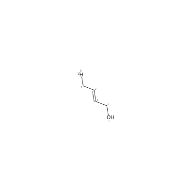 [2H]C/C=C/CO